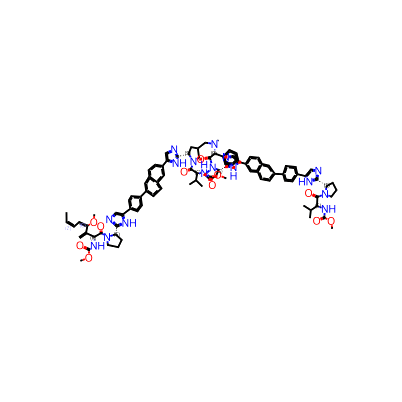 C=C(/C(=C\C=C/C)OC)[C@@H](NC(=O)OC)C(=O)N1CCC[C@H]1c1ncc(-c2ccc(-c3ccc4cc(-c5cnc([C@@H]6CC(CN(C)[C@@H](C(=O)N7CCC[C@H]7c7ncc(-c8ccc9cc(-c%10ccc(-c%11cnc([C@@H]%12CCCN%12C(=O)[C@@H](NC(=O)OC)C(C)C)[nH]%11)cc%10)ccc9c8)[nH]7)c7ccccc7)CN6C(=O)[C@@H](NC(=O)OC)C(C)C)[nH]5)ccc4c3)cc2)[nH]1